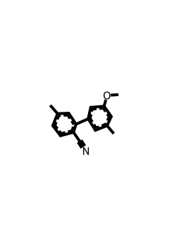 COc1cc(C)cc(-c2cc(C)ccc2C#N)c1